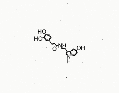 O=C(C=Cc1ccc(O)c(O)c1)NCCc1c[nH]c2ccc(O)cc12